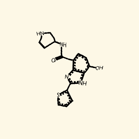 O=C(NC1CCNC1)c1ccc(O)c2[nH]c(-c3cccs3)nc12